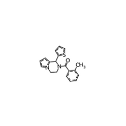 Cc1ccccc1C(=O)N1CCn2cccc2C1c1cccs1